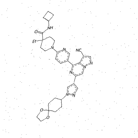 CCC1(C(=O)NC2CCC2)CCN(c2ccc(-c3nc(-c4cnn(C5CCC6(CC5)OCCO6)c4)cn4ncc(C#N)c34)cn2)CC1